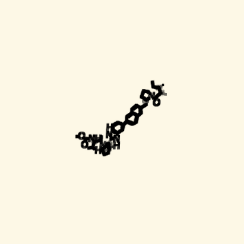 CC[C@H](C)[C@H](C)C(=O)N1CCC[C@H]1Cc1ccc2cc(-c3ccc4[nH]c([C@@H]5[C@H]6CC[C@H](C6)N5C(C)[C@@H](NC(=O)OC)C(C)C)nc4c3)ccc2c1